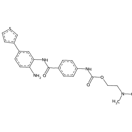 CN(C)CCOC(=O)Nc1ccc(C(=O)Nc2cc(-c3ccsc3)ccc2N)cc1